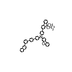 CC1(C)c2ccccc2-c2ccc(-c3ccc(N(c4ccc(-c5ccc(-c6cccc(-c7ccc8ccccc8c7)c6)cc5)cc4)c4ccc5c(c4)oc4ccccc45)cc3)cc21